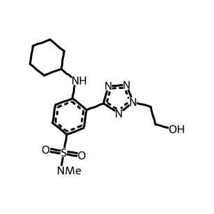 CNS(=O)(=O)c1ccc(NC2CCCCC2)c(-c2nnn(CCO)n2)c1